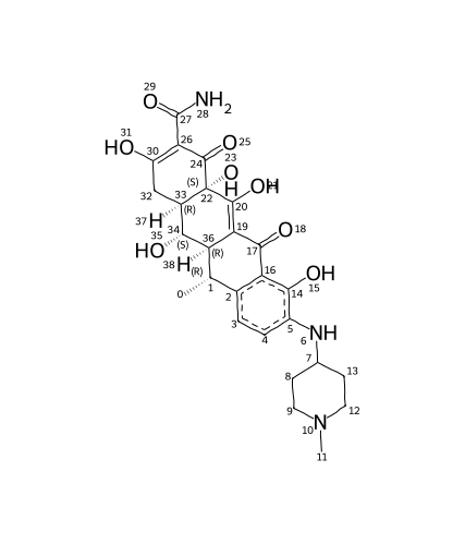 C[C@H]1c2ccc(NC3CCN(C)CC3)c(O)c2C(=O)C2=C(O)[C@]3(O)C(=O)C(C(N)=O)=C(O)C[C@@H]3[C@@H](O)[C@@H]21